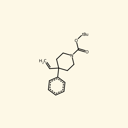 C=CC1(c2ccccc2)CCN(C(=O)OC(C)(C)C)CC1